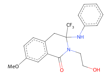 COc1ccc2c(c1)C(=O)N(CCO)C(Nc1ccccc1)(C(F)(F)F)C2